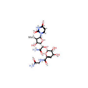 COC1C(O)[C@@H](C(O[C@H]2OC(C(=O)NCC(N)=O)=CC(O)C2O)C(N)=O)OC1n1ccc(=O)[nH]c1=O